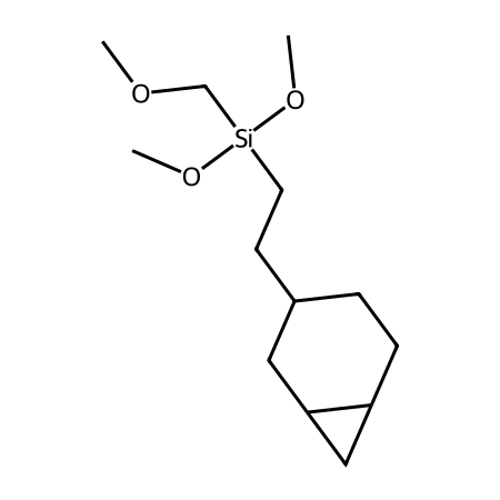 COC[Si](CCC1CCC2CC2C1)(OC)OC